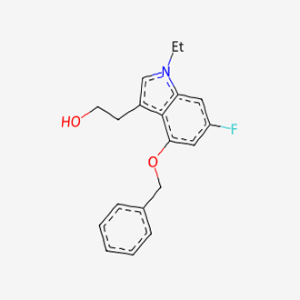 CCn1cc(CCO)c2c(OCc3ccccc3)cc(F)cc21